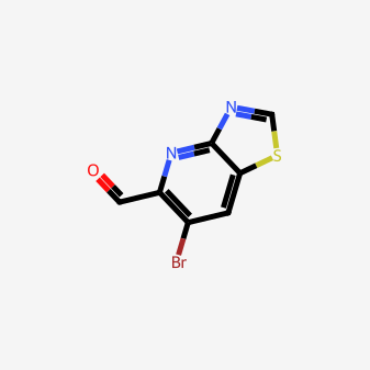 O=Cc1nc2ncsc2cc1Br